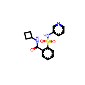 O=C(NC1CCC1)c1ccccc1S(=O)(=O)Nc1cccnc1